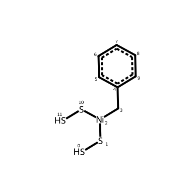 S[S][Ni]([CH2]c1ccccc1)[S]S